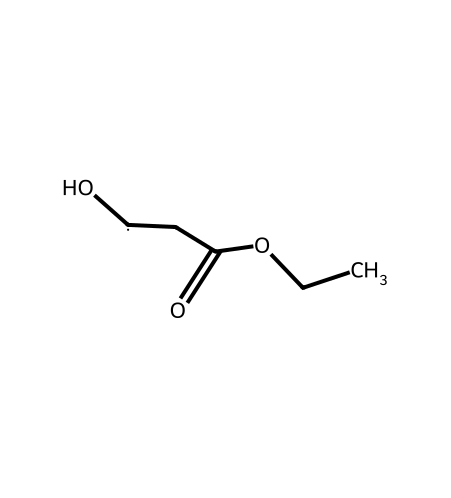 CCOC(=O)C[CH]O